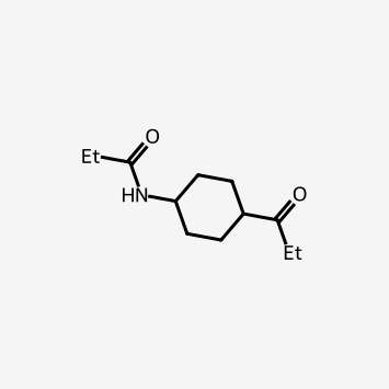 CCC(=O)NC1CCC(C(=O)CC)CC1